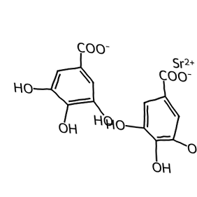 O=C([O-])c1cc(O)c(O)c(O)c1.O=C([O-])c1cc(O)c(O)c(O)c1.[Sr+2]